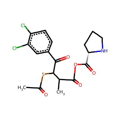 CC(=O)SC(C(=O)c1ccc(Cl)c(Cl)c1)C(C)C(=O)OC(=O)[C@@H]1CCCN1